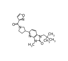 Cn1c(=O)n(CC(C)(C)C)c2ccc(C3CCN(C(=O)c4ccon4)C3)nc21